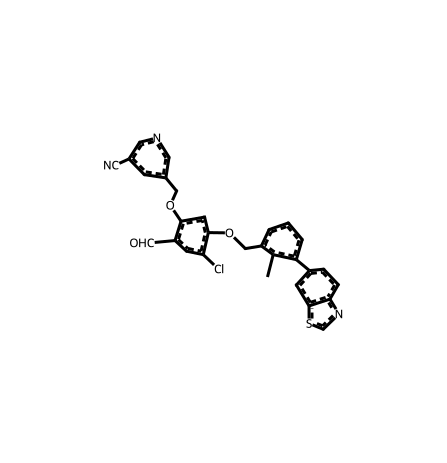 Cc1c(COc2cc(OCc3cncc(C#N)c3)c(C=O)cc2Cl)cccc1-c1ccc2ncsc2c1